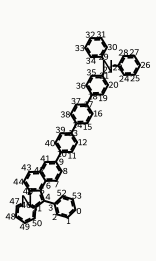 c1ccc(-c2c3c4ccc(-c5ccc(-c6ccc(-c7ccc(N(c8ccccc8)c8ccccc8)cc7)cc6)cc5)cc4ccc3n3ccccc23)cc1